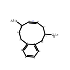 CC(=O)OC1[CH]Cc2ccccc2CC(OC(C)=O)C/C=C\1